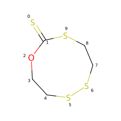 S=C1OCCSSCCS1